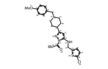 COc1ccc(CN2CCC(c3cc(NCc4ccc(Cl)s4)n(C(=O)C(C)(C)C)n3)CC2)cc1